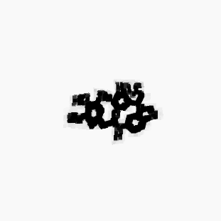 CC(C)(C)c1cc(CC(=O)Nc2ccc3ncn(C(CC(=O)O)c4ccccc4)c3c2)cc(C(C)(C)C)c1O